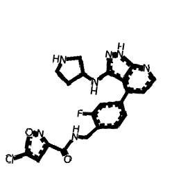 O=C(NCc1ccc(-c2ccnc3[nH]nc(NC4CCNC4)c23)cc1F)c1cc(Cl)on1